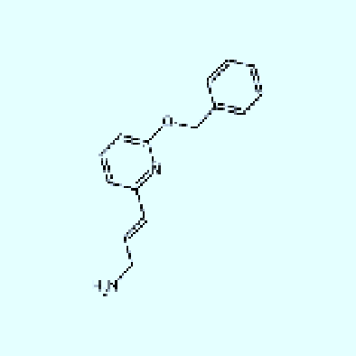 NC/C=C/c1cccc(OCc2ccccc2)n1